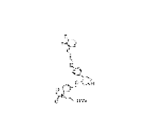 COCCCN1C(=O)COc2ccc(COC3CNCCC3c3ccc(OCCCOc4cccc(F)c4F)cc3)cc21